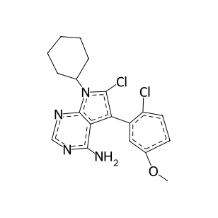 COc1ccc(Cl)c(-c2c(Cl)n(C3CCCCC3)c3ncnc(N)c23)c1